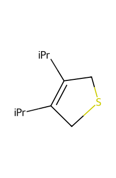 CC(C)C1=C(C(C)C)CSC1